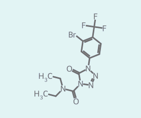 CCN(CC)C(=O)n1nnn(-c2ccc(C(F)(F)F)c(Br)c2)c1=O